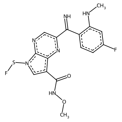 CNc1cc(F)ccc1C(=N)c1cnc2c(n1)c(C(=O)NOC)cn2SF